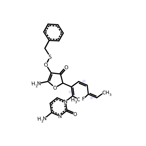 C\C=C(F)/C=C\C(=C(/C)n1ccc(N)nc1=O)C1OC(N)=C(OSCc2ccccc2)C1=O